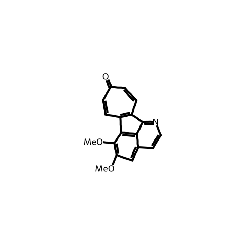 COc1cc2ccnc3c2c(c1OC)-c1ccc(=O)ccc1-3